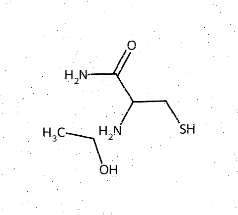 CCO.NC(=O)C(N)CS